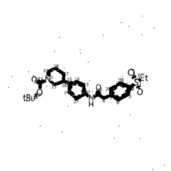 CCS(=O)(=O)c1ccc(CC(=O)Nc2ccc(C3CCCN(C(=O)OC(C)(C)C)C3)cc2)cc1